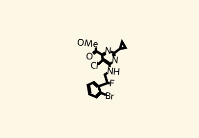 COC(=O)c1nc(C2CC2)nc(NCC(F)c2ccccc2Br)c1Cl